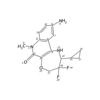 Cn1c(=O)c2c(c3cc(N)ccc31)NC(C1CC1)C(F)(F)CO2